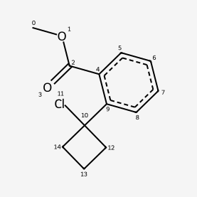 COC(=O)c1ccccc1C1(Cl)CCC1